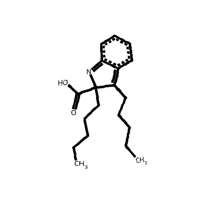 CCCCCC1=c2ccccc2=NC1(CCCCC)C(=O)O